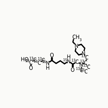 CCN1CCN([13CH2][13CH]2[13CH2][13CH2][13CH2]N2[13CH2]C(=O)[15NH]CCCC(=O)[15NH][13CH2][13CH2][13CH2][13C](=O)O)CC1